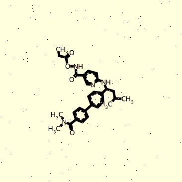 CCC(=O)ONC(=O)c1ccc(NC(CC(C)C)c2ccc(-c3ccc(C(=O)N(C)C)cc3)cc2)nc1